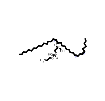 CCCCC/C=C\C/C=C\CCCCCCCC(/C=C\CCCCCCCCCCCCCC)O[C@@H](CO)COP(=O)(O)OCCN